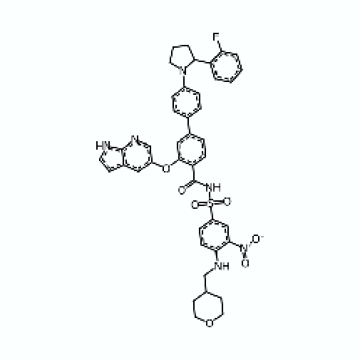 O=C(NS(=O)(=O)c1ccc(NCC2CCOCC2)c([N+](=O)[O-])c1)c1ccc(-c2ccc(N3CCCC3c3ccccc3F)cc2)cc1Oc1cnc2[nH]ccc2c1